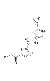 CC(C)CC(=O)c1c[nH]c(C(=O)Nc2cc(C3CC3)[nH]n2)c1